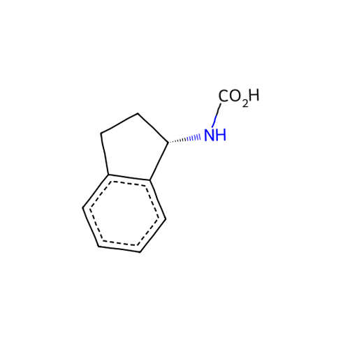 O=C(O)N[C@H]1CCc2ccccc21